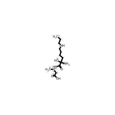 CCCNCCCCC(N)(O)C(=O)NN(C)CC(=O)O